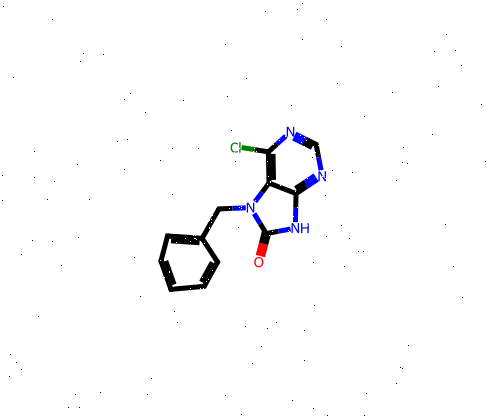 O=c1[nH]c2ncnc(Cl)c2n1Cc1ccccc1